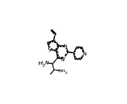 C=Cc1csc2c(C(N)C(C)N)nc(-c3ccncc3)nc12